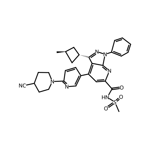 CS(=O)(=O)NC(=O)c1cc(-c2ccc(N3CCC(C#N)CC3)nc2)c2c(n1)n(-c1ccccc1)nc2[C@H]1C[C@H](C)C1